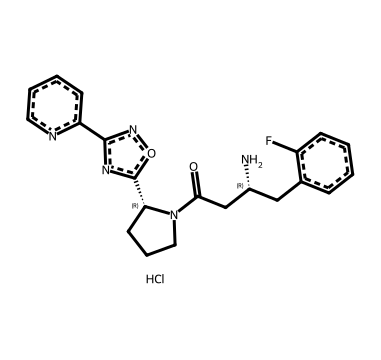 Cl.N[C@@H](CC(=O)N1CCC[C@@H]1c1nc(-c2ccccn2)no1)Cc1ccccc1F